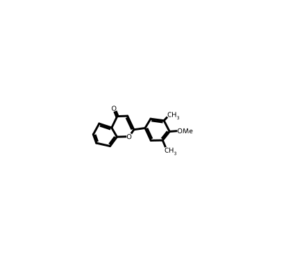 COc1c(C)cc(-c2cc(=O)c3ccccc3o2)cc1C